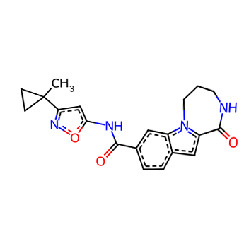 CC1(c2cc(NC(=O)c3ccc4cc5n(c4c3)CCCNC5=O)on2)CC1